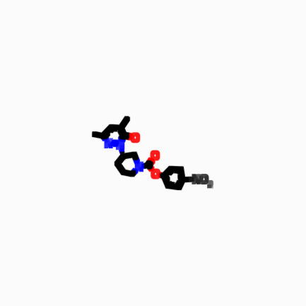 Cc1cc(C)c(=O)n([C@@H]2CCCN(C(=O)Oc3ccc([N+](=O)[O-])cc3)C2)n1